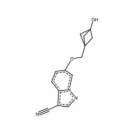 N#Cc1cnn2cc(OCC34CC(O)(C3)C4)ccc12